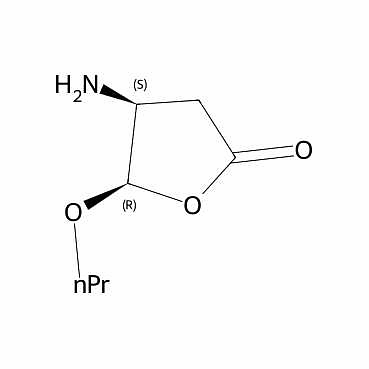 CCCO[C@@H]1OC(=O)C[C@@H]1N